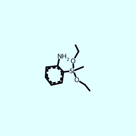 CCO[Si](C)(OCC)c1ccccc1N